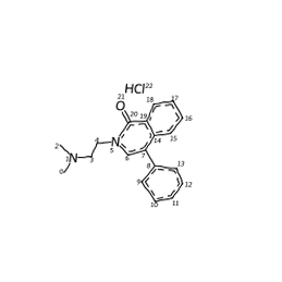 CN(C)CCn1cc(-c2ccccc2)c2ccccc2c1=O.Cl